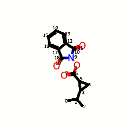 CC(C)C1CC1C(=O)ON1C(=O)c2ccccc2C1=O